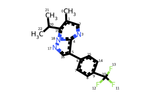 Cc1cnc2c(-c3ccc(C(F)(F)F)cc3)cnn2c1C(C)C